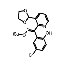 CC(C)(C)ON=C(c1cc(Br)ccc1O)c1ncccc1C1OCCO1